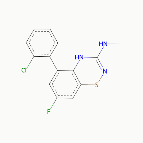 CNC1=NSc2cc(F)cc(-c3ccccc3Cl)c2N1